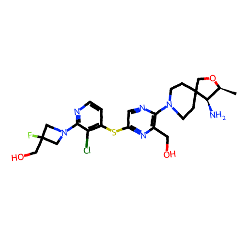 C[C@@H]1OCC2(CCN(c3ncc(Sc4ccnc(N5CC(F)(CO)C5)c4Cl)nc3CO)CC2)[C@@H]1N